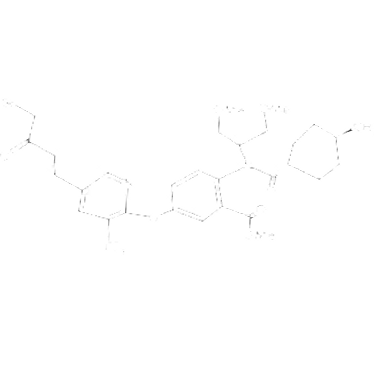 COCC(COC)N(c1ccc(Oc2ncc(CCC(=O)CBr)cc2C(F)(F)F)cc1C(=O)OC)C(=O)[C@H]1CC[C@H](C)CC1